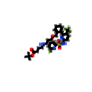 CC(C)(C)OC(=O)CCCNCCCOCc1ccccc1-c1nc(NS(=O)(=O)c2cccc(F)n2)ccc1C(F)(F)F